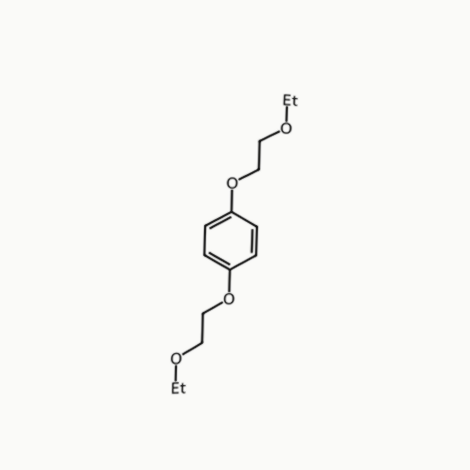 CCOCCOc1ccc(OCCOCC)cc1